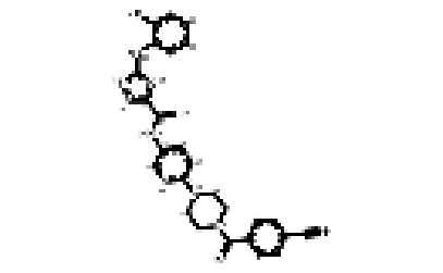 N#Cc1ccc(C(=O)N2CCN(c3ccc(NC(=O)c4nnc(Nc5ccccc5F)o4)cn3)CC2)cc1